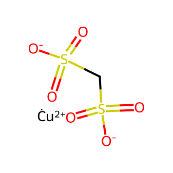 O=S(=O)([O-])CS(=O)(=O)[O-].[Cu+2]